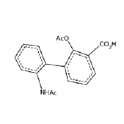 CC(=O)Nc1ccccc1-c1cccc(C(=O)O)c1OC(C)=O